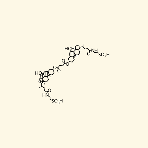 C[C@H](CCC(=O)NCCS(=O)(=O)O)[C@H]1CC[C@H]2[C@@H]3[C@@H](O)CC4C[C@H](OC(=O)CCC(=O)O[C@@H]5CC[C@@]6(C)C(C5)C[C@H](O)[C@H]5[C@@H]7CC[C@H]([C@H](C)CCC(=O)NCCS(=O)(=O)O)[C@@]7(C)CC[C@@H]56)CC[C@]4(C)[C@H]3CC[C@]12C